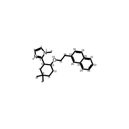 Cn1ccnc1C1CC(C)(C)CCC1OCCc1ccc2ccccc2c1